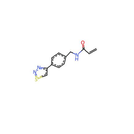 C=CC(=O)NCc1ccc(-c2csnn2)cc1